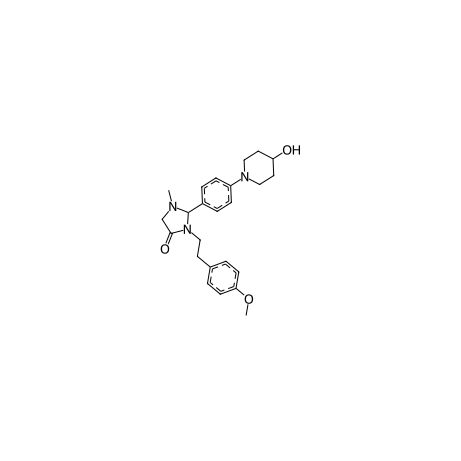 COc1ccc(CCN2C(=O)CN(C)C2c2ccc(N3CCC(O)CC3)cc2)cc1